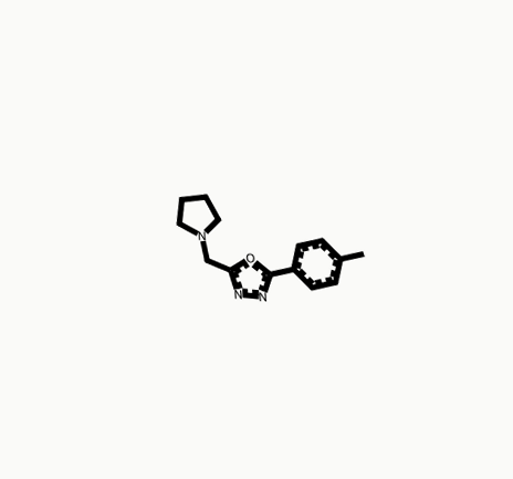 Cc1ccc(-c2nnc(CN3CCCC3)o2)cc1